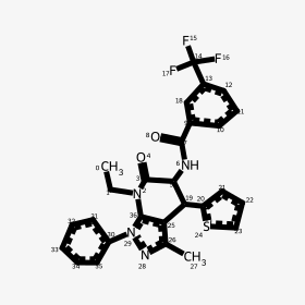 CCN1C(=O)C(NC(=O)c2cccc(C(F)(F)F)c2)C(c2cccs2)c2c(C)nn(-c3ccccc3)c21